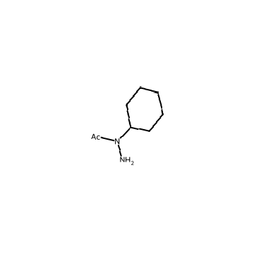 CC(=O)N(N)C1CCCCC1